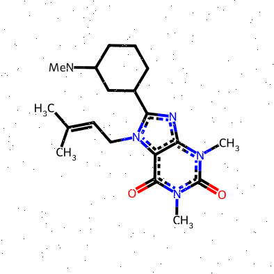 CNC1CCCC(c2nc3c(c(=O)n(C)c(=O)n3C)n2CC=C(C)C)C1